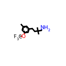 Cc1cc(CCC(C)(C)CN)cc(OC(F)(F)F)c1